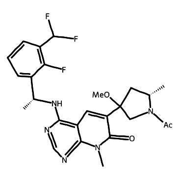 COC1(c2cc3c(N[C@H](C)c4cccc(C(F)F)c4F)ncnc3n(C)c2=O)C[C@H](C)N(C(C)=O)C1